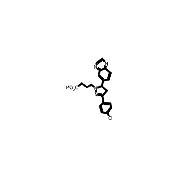 O=C(O)CCCN1N=C(c2ccc(Cl)cc2)CC1c1ccc2nccnc2c1